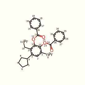 CCCc1cc(C2CCCC2)c(CC(C)C)c(OC(=O)c2ccccc2)c1OC(=O)c1ccccc1